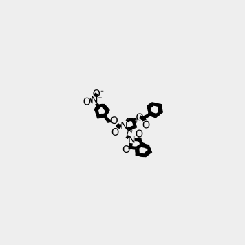 O=C(O[C@@H]1C[C@H](CN2C(=O)c3ccccc3C2=O)N(C(=O)OCc2ccc([N+](=O)[O-])cc2)C1)c1ccccc1